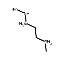 C[SiH2]CC[SiH2]NC(C)C